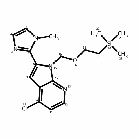 Cn1ccnc1-c1cc2c(Cl)ccnc2n1COCC[Si](C)(C)C